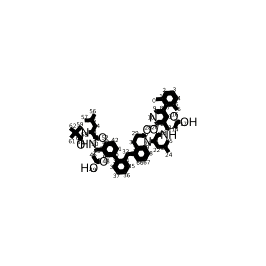 Cc1cccc(C)c1-c1cncc([C@H](CC(=O)O)NC(=O)C(CC(C)C)N2C(=O)CCc3c(Cc4ccccc4-c4cccc([C@H](CC(=O)O)NC(=O)C(CC(C)C)N5CC(C)(C)C5=O)c4)cccc32)c1